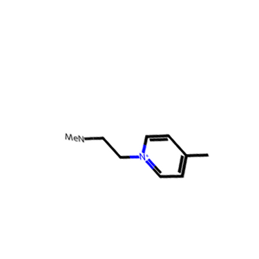 CNCC[n+]1ccc(C)cc1